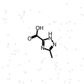 Cc1n[nH]c(C(=O)O)n1